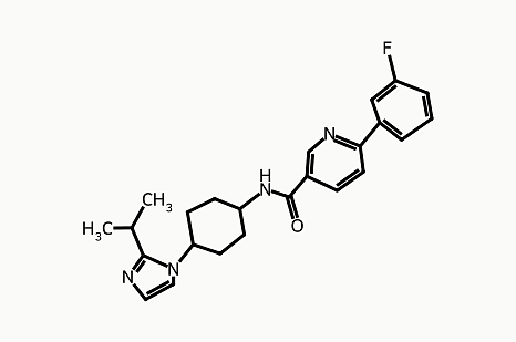 CC(C)c1nccn1C1CCC(NC(=O)c2ccc(-c3cccc(F)c3)nc2)CC1